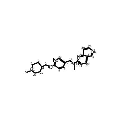 CN1CCC(COc2ccc(CNc3ccc4cnccc4n3)cn2)CC1